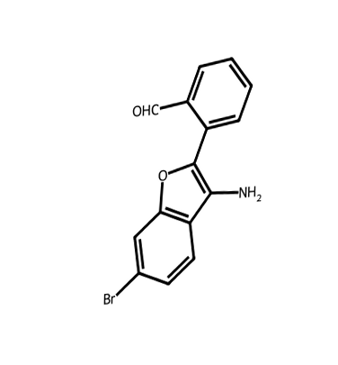 Nc1c(-c2ccccc2C=O)oc2cc(Br)ccc12